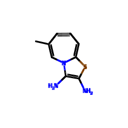 CC1=CN2C(=CC=C1)SC(N)=C2N